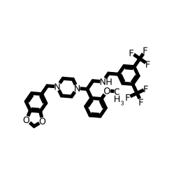 COc1ccccc1C(CNCc1cc(C(F)(F)F)cc(C(F)(F)F)c1)N1CCN(Cc2ccc3c(c2)OCO3)CC1